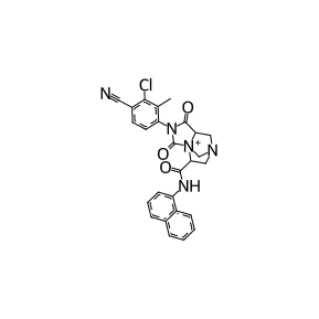 Cc1c(N2C(=O)C3CN4CC(C(=O)Nc5cccc6ccccc56)[N+]3(C4)C2=O)ccc(C#N)c1Cl